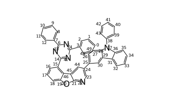 c1ccc(-c2nc(-c3ccccc3)nc(-c3cccc4oc5ncc(-c6ccc7c(c6)c6ccccc6n7-c6ccccc6)cc5c34)n2)cc1